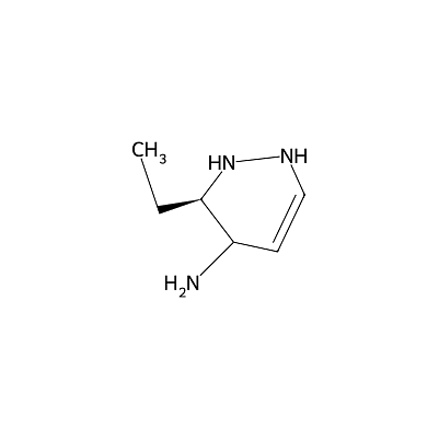 CC[C@H]1NNC=CC1N